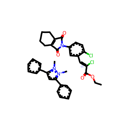 CCOC(=O)/C(Cl)=C/c1cc(N2C(=O)C3=C(CCCC3)C2=O)ccc1Cl.Cn1c(-c2ccccc2)cc(-c2ccccc2)[n+]1C